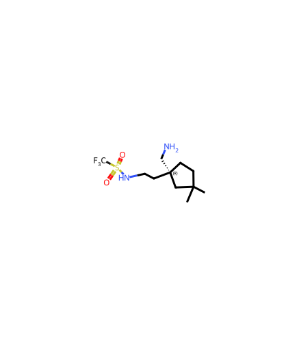 CC1(C)CC[C@](CN)(CCNS(=O)(=O)C(F)(F)F)C1